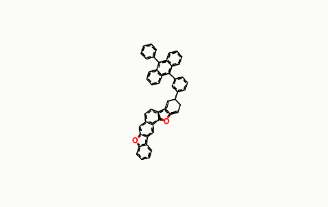 C1=c2oc3c(ccc4cc5oc6ccccc6c5cc43)c2=CC(c2cccc(-c3c4ccccc4c(-c4ccccc4)c4ccccc34)c2)C1